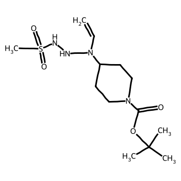 C=CN(NNS(C)(=O)=O)C1CCN(C(=O)OC(C)(C)C)CC1